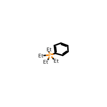 CCP(CC)(CC)(CC)c1ccccc1